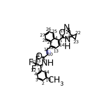 Cc1cccc(C(NC(=O)/C=C/c2ccc(C(=O)NC3(C#N)CC3)c3ccccc23)C(F)(F)F)c1